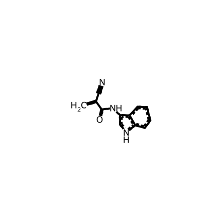 C=C(C#N)C(=O)Nc1c[nH]c2ccccc12